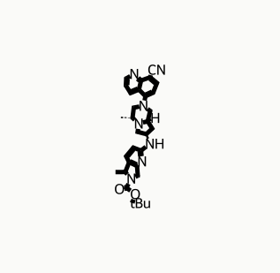 CC1c2ccc(N[C@@H]3C[C@H]4CN(c5ccc(C#N)c6ncccc56)C[C@@H](C)N4C3)nc2CN1C(=O)OC(C)(C)C